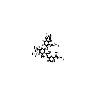 COc1c(Oc2cc(C(F)(F)F)c(C)c(F)c2C(=O)Nc2ccnc(C(N)=O)c2)ccc(OC(F)(F)F)c1F